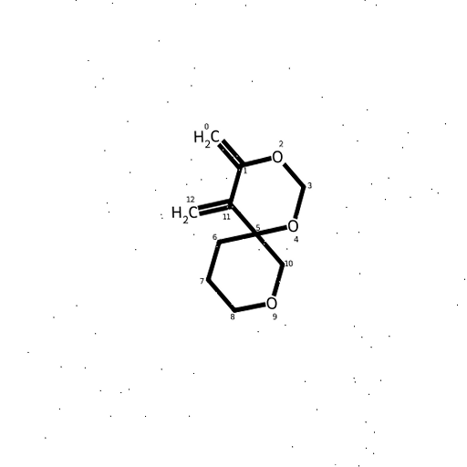 C=C1OCOC2(CCCOC2)C1=C